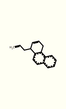 C=CCC1C=CCc2c1ccc1ccccc21